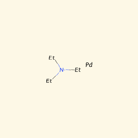 CCN(CC)CC.[Pd]